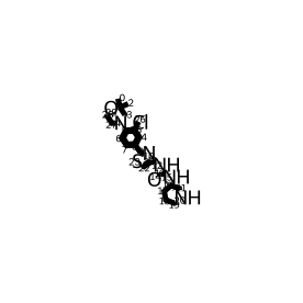 CC1(C)CN(c2ccc(-c3nc(NC(=O)N[C@H]4CCCNC4)cs3)cc2Cl)CCO1